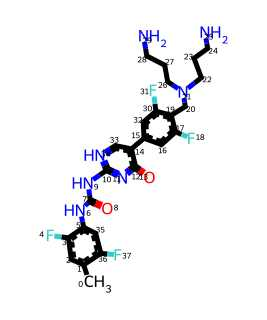 Cc1cc(F)c(NC(=O)Nc2nc(=O)c(-c3cc(F)c(CN(CCCN)CCCN)c(F)c3)c[nH]2)cc1F